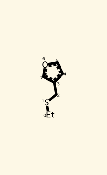 CCSCc1ccoc1